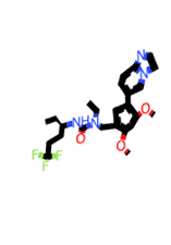 CC[C@H](CCC(F)(F)F)NC(=O)N(CC)Cc1cc(-c2ccc3nccn3c2)c(OC)cc1OC